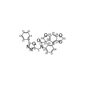 O=C1N(Cc2nnc(-c3ccccc3)o2)c2ccccc2C12COc1cc3c(cc12)OCO3